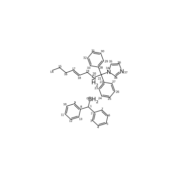 BC(c1ccccc1)c1ccccc1.CCCC=CC[SiH2]C(c1ccccc1)(c1ccccc1)n1ccnc1